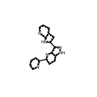 c1ccc(-c2ccc3[nH]nc(-c4cc5cccnc5[nH]4)c3n2)nc1